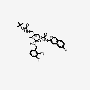 CN(C(=O)NCc1cccc(F)c1Cl)[C@@H](CNC(=O)OC(C)(C)C)COC(=O)Nc1cc2cc(F)ccc2cn1